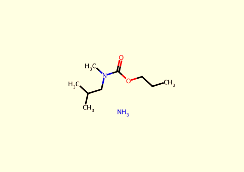 CCCOC(=O)N(C)CC(C)C.N